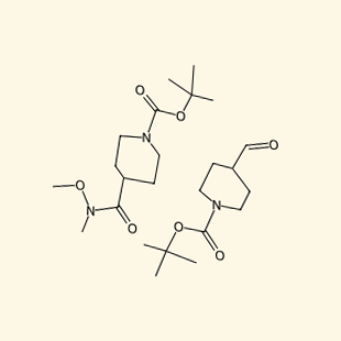 CC(C)(C)OC(=O)N1CCC(C=O)CC1.CON(C)C(=O)C1CCN(C(=O)OC(C)(C)C)CC1